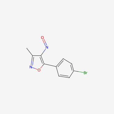 Cc1noc(-c2ccc(Br)cc2)c1N=O